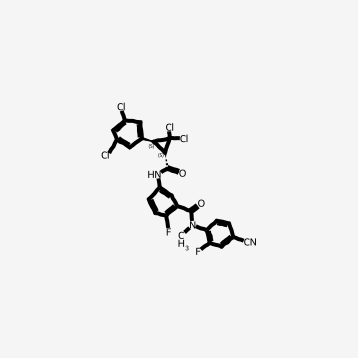 CN(C(=O)c1cc(NC(=O)[C@@H]2[C@@H](c3cc(Cl)cc(Cl)c3)C2(Cl)Cl)ccc1F)c1ccc(C#N)cc1F